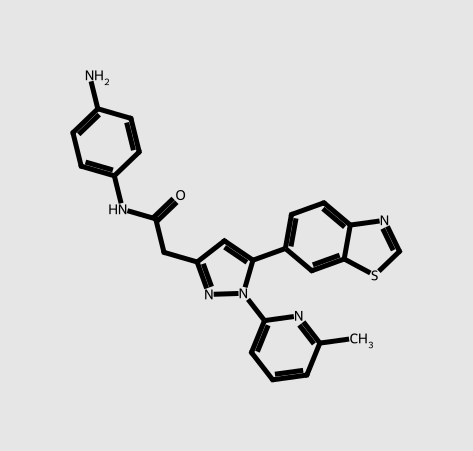 Cc1cccc(-n2nc(CC(=O)Nc3ccc(N)cc3)cc2-c2ccc3ncsc3c2)n1